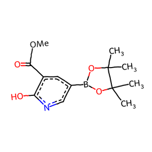 COC(=O)c1cc(B2OC(C)(C)C(C)(C)O2)cnc1O